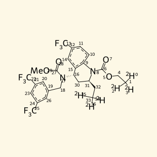 [2H]C([2H])([2H])COC(=O)N1c2ccc(C(F)(F)F)cc2[C@@H](N(Cc2cc(C(F)(F)F)cc(C(F)(F)F)c2)C(=O)OC)C[C@@H]1CC([2H])([2H])[2H]